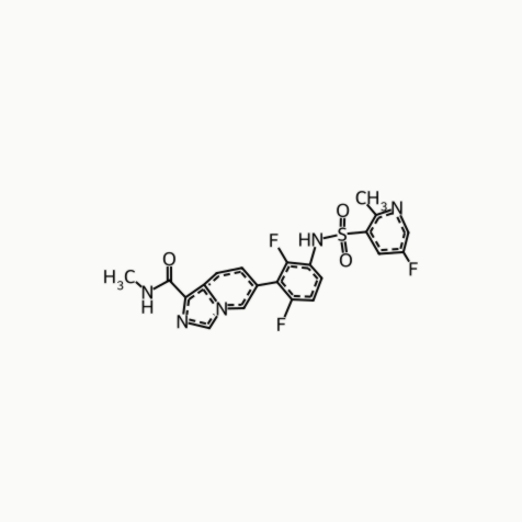 CNC(=O)c1ncn2cc(-c3c(F)ccc(NS(=O)(=O)c4cc(F)cnc4C)c3F)ccc12